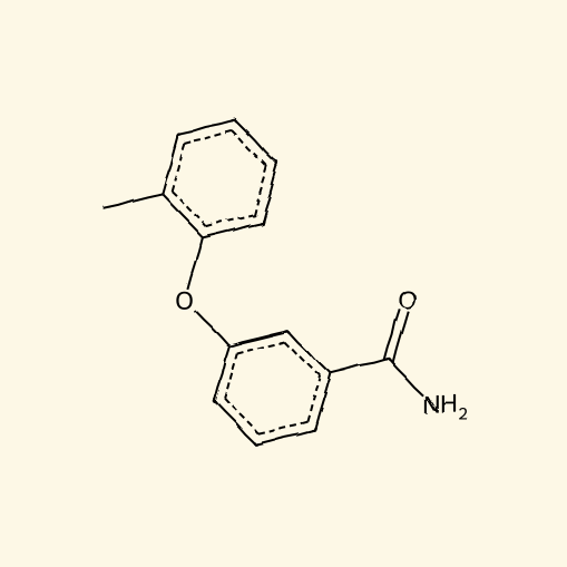 Cc1ccccc1Oc1cccc(C(N)=O)c1